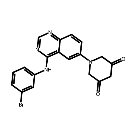 O=C1CC(=O)CN(c2ccc3ncnc(Nc4cccc(Br)c4)c3c2)C1